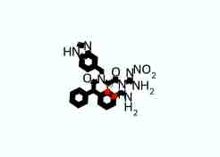 NCCC[C@@H](C(=O)NC(N)=N[N+](=O)[O-])N(Cc1ccc2[nH]cnc2c1)C(=O)C(c1ccccc1)c1ccccc1